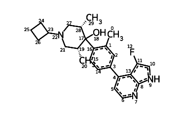 Cc1cc(-c2ccnc3[nH]cc(F)c23)ccc1C1(O)[C@H](C)CN(C2CCC2)C[C@@H]1C